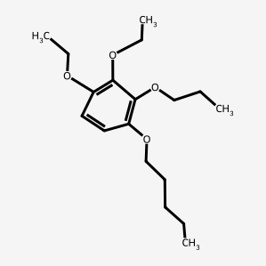 CCCCCOc1ccc(OCC)c(OCC)c1OCCC